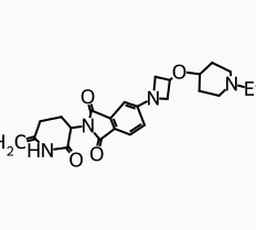 C=C1CCC(N2C(=O)c3ccc(N4CC(OC5CCN(CC)CC5)C4)cc3C2=O)C(=O)N1